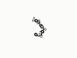 Cc1cc(C(=O)N2CC3CC(C2)CN(c2cnc4cc(F)c(F)cc4n2)C3)ccc1C1=COC(Cc2ccccc2)O1